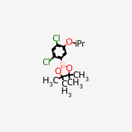 CC(C)Oc1cc(B2OC(C)(C)C(C)(C)O2)c(Cl)cc1Cl